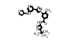 Cc1ccc(C(=O)Nc2cc(C(C)(C)C)on2)cc1-n1cc(-c2cncc(NC3CCOC3)c2)nn1